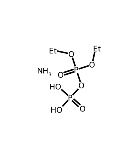 CCOP(=O)(OCC)OP(=O)(O)O.N